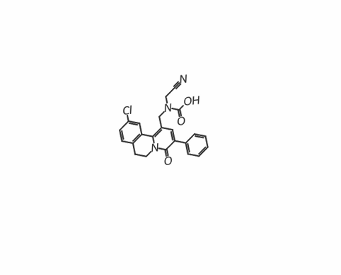 N#CCN(Cc1cc(-c2ccccc2)c(=O)n2c1-c1cc(Cl)ccc1CC2)C(=O)O